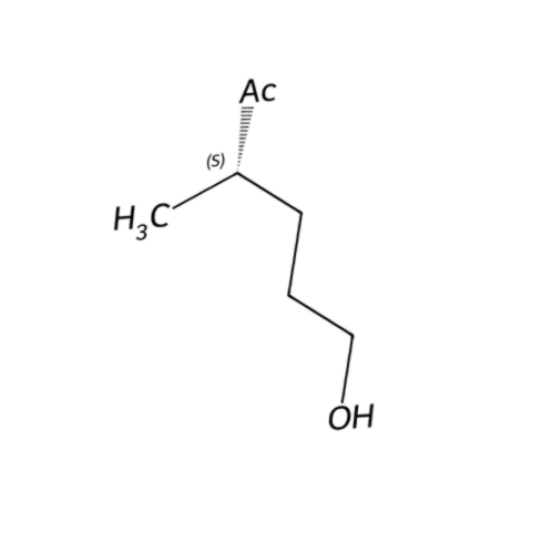 CC(=O)[C@@H](C)CCCO